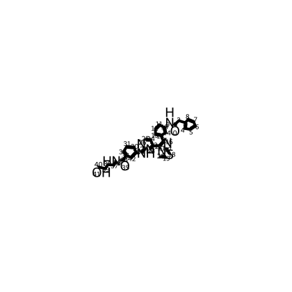 O=C(Cc1ccccc1)Nc1cccc(-c2nc3sccn3c2-c2ccnc(Nc3cccc(C(=O)NCCCCO)c3)n2)c1